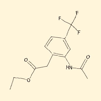 CCOC(=O)Cc1ccc(C(F)(F)F)cc1NC(C)=O